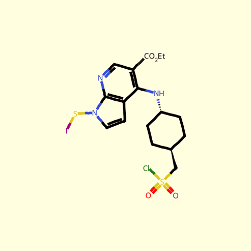 CCOC(=O)c1cnc2c(ccn2SI)c1N[C@H]1CC[C@H](CS(=O)(=O)Cl)CC1